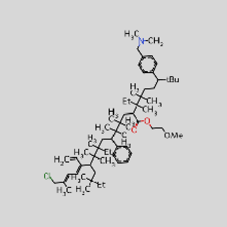 C=C/C(=C\C=C(/C)CCl)C(CC(C)(C)CC)C(C)(C)C(C)(CC)CC(c1ccccc1)C(C)(C)C(C)(C)CC(C(=O)OCCOC)C(C)(CC)C(C)(C)CCC(c1ccc(CN(C)C)cc1)C(C)(C)C